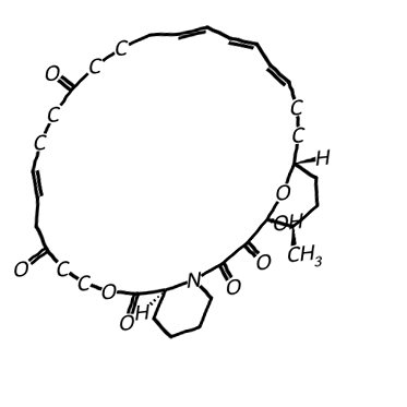 C[C@@H]1CC[C@H]2CC/C=C/C=C/C=C/CCCC(=O)CC/C=C/CC(=O)CCOC(=O)[C@@H]3CCCCN3C(=O)C(=O)[C@]1(O)O2